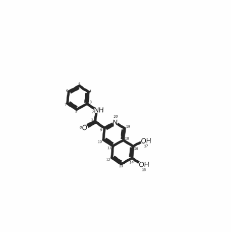 O=C(Nc1ccccc1)c1cc2ccc(O)c(O)c2cn1